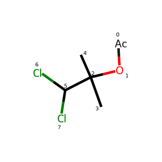 CC(=O)OC(C)(C)C(Cl)Cl